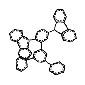 c1ccc(-c2cc(-c3cc(C4c5ccccc5-c5ccccc54)ccc3-n3c4ccccc4c4ccccc43)cc(-c3ccccc3)n2)cc1